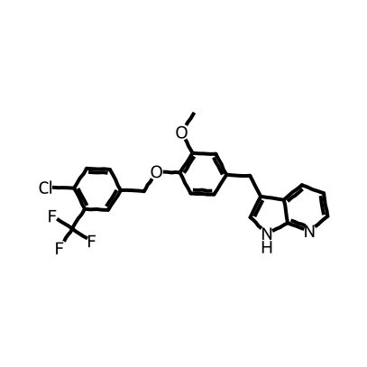 COc1cc(Cc2c[nH]c3ncccc23)ccc1OCc1ccc(Cl)c(C(F)(F)F)c1